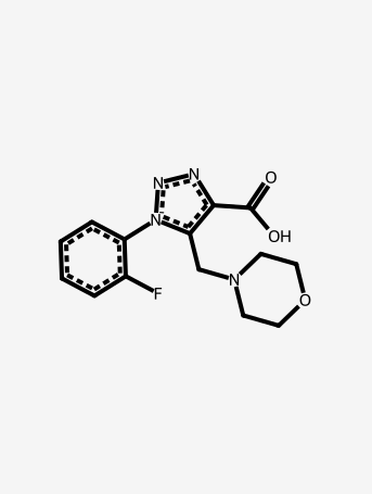 O=C(O)c1nnn(-c2ccccc2F)c1CN1CCOCC1